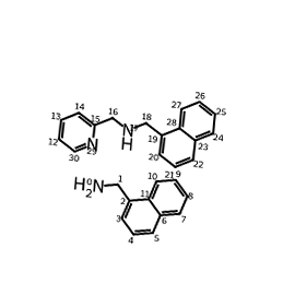 NCc1cccc2ccccc12.c1ccc(CNCc2cccc3ccccc23)nc1